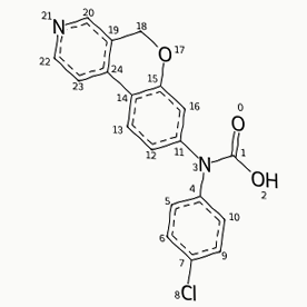 O=C(O)N(c1ccc(Cl)cc1)c1ccc2c(c1)OCc1cnccc1-2